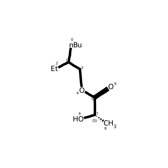 CCCCC(CC)COC(=O)[C@H](C)O